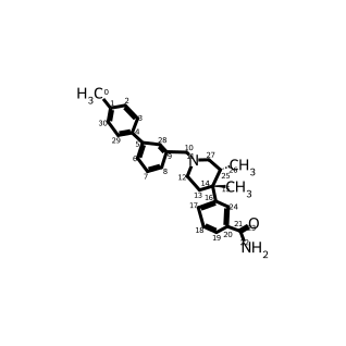 Cc1ccc(-c2cccc(CN3CC[C@@](C)(c4cccc(C(N)=O)c4)[C@@H](C)C3)c2)cc1